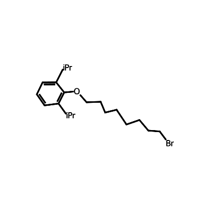 CC(C)c1cccc(C(C)C)c1OCCCCCCCCBr